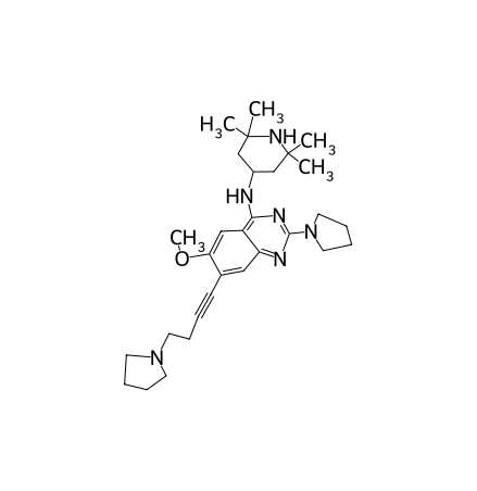 COc1cc2c(NC3CC(C)(C)NC(C)(C)C3)nc(N3CCCC3)nc2cc1C#CCCN1CCCC1